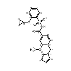 COc1cc(C(=O)NS(=O)(=O)c2ccccc2OC2CC2)ccc1Cn1cccn1